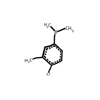 CB(C)c1ccc(Cl)c(C)c1